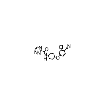 N#Cc1ccc(O[C@H]2CC[C@H](NC(=O)c3nccnn3)CC2)cc1Cl